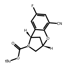 CC(C)(C)OC(=O)N1C[C@@H]2C[C@H]1c1cc(F)cc(C#N)c1O2